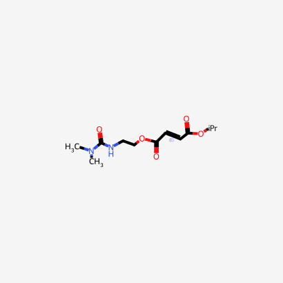 CC(C)OC(=O)/C=C/C(=O)OCCNC(=O)N(C)C